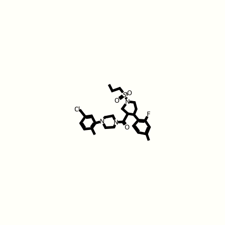 CCCS(=O)(=O)N1CCC(c2ccc(C)cc2F)C(C(=O)N2CCN(c3cc(Cl)ccc3C)CC2)C1